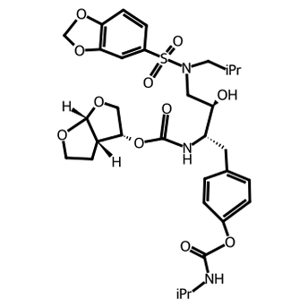 CC(C)CN(C[C@@H](O)[C@H](Cc1ccc(OC(=O)NC(C)C)cc1)NC(=O)O[C@H]1CO[C@H]2OCC[C@H]21)S(=O)(=O)c1ccc2c(c1)OCO2